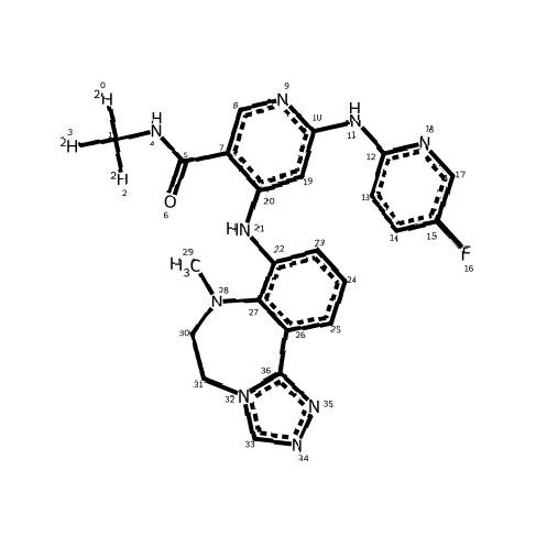 [2H]C([2H])([2H])NC(=O)c1cnc(Nc2ccc(F)cn2)cc1Nc1cccc2c1N(C)CCn1cnnc1-2